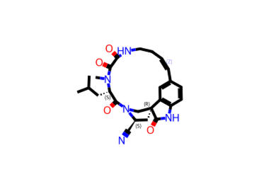 CC(C)C[C@H]1C(=O)N2C[C@]3(C[C@H]2C#N)C(=O)Nc2ccc(cc23)/C=C\CCNC(=O)C(=O)N1C